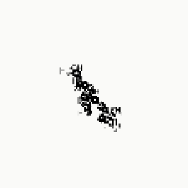 CC(C)c1ccccc1[C@H]1COC[C@@H](C)N1C1CC2(CCN(c3ccc(C(=O)NS(=O)(=O)c4ccc(NCC5CCC(C)(O)CC5)c([N+](=O)[O-])c4)c(N4c5cc6cc[nH]c6nc5O[C@@H]5CCOC[C@H]54)c3)CC2)C1